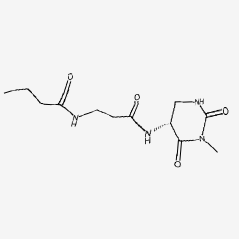 CCCC(=O)NCCC(=O)N[C@@H]1CNC(=O)N(C)C1=O